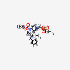 C/C(=C\c1ccccc1)C1CC1N(C(=O)OC(C)(C)C)C1CCN(CCOS(C)(=O)=O)CC1